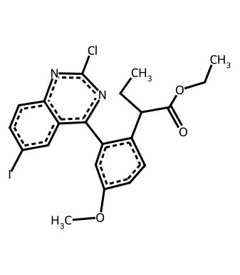 CCOC(=O)C(CC)c1ccc(OC)cc1-c1nc(Cl)nc2ccc(I)cc12